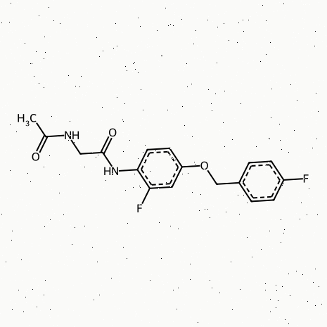 CC(=O)NCC(=O)Nc1ccc(OCc2ccc(F)cc2)cc1F